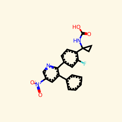 O=C(O)NC1(c2ccc(-c3ncc([N+](=O)[O-])cc3-c3ccccc3)cc2F)CC1